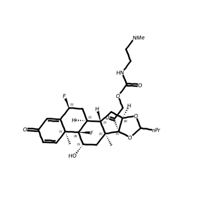 CCCC1O[C@@H]2C[C@H]3[C@@H]4C[C@H](F)C5=CC(=O)C=C[C@]5(C)[C@@]4(F)[C@@H](O)C[C@]3(C)[C@]2(C(=O)COC(=O)NCCNC)O1